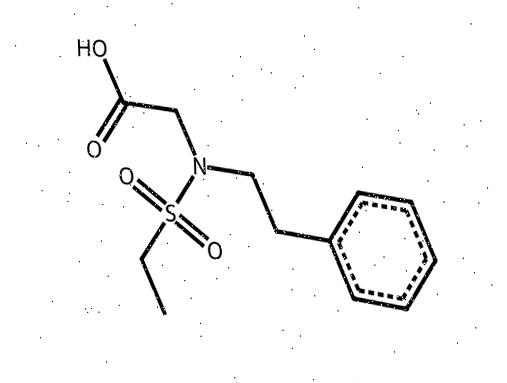 CCS(=O)(=O)N(CCc1ccccc1)CC(=O)O